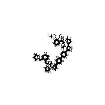 O=C(O)N[C@@H](C(=O)N1CCC[C@H]1c1ncc(-c2ccc(-c3ccc(-c4cnc([C@@H]5CCCN5C(=O)Cc5ccccc5CN5CCCC5)[nH]4)cc3)cc2)[nH]1)c1ccccc1